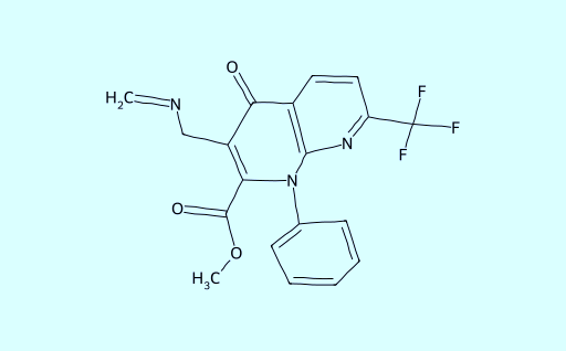 C=NCc1c(C(=O)OC)n(-c2ccccc2)c2nc(C(F)(F)F)ccc2c1=O